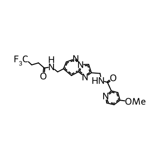 COc1ccnc(C(=O)NCc2cn3ncc(CNC(=O)CCC(F)(F)F)cc3n2)c1